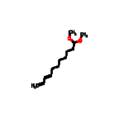 C=C/C=C/CCCCCCC(OC)OC